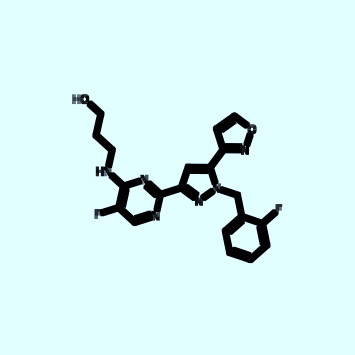 OCCCNc1nc(-c2cc(-c3ccon3)n(Cc3ccccc3F)n2)ncc1F